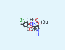 COc1cc(C)c(Br)c(C=O)c1OC(=O)C1(NC(=O)OC(C)(C)C)CCNC1